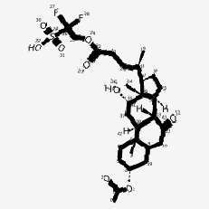 CC(=O)O[C@@H]1CC[C@@]2(C)C(CC(=O)[C@H]3[C@@H]4CC[C@H]([C@H](C)CCC(=O)OCC(F)(F)S(=O)(=O)O)[C@@]4(C)[C@@H](O)C[C@@H]32)C1